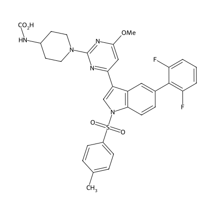 COc1cc(-c2cn(S(=O)(=O)c3ccc(C)cc3)c3ccc(-c4c(F)cccc4F)cc23)nc(N2CCC(NC(=O)O)CC2)n1